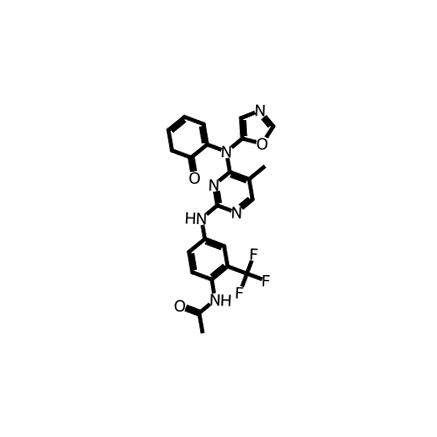 CC(=O)Nc1ccc(Nc2ncc(C)c(N(C3=CC=CCC3=O)c3cnco3)n2)cc1C(F)(F)F